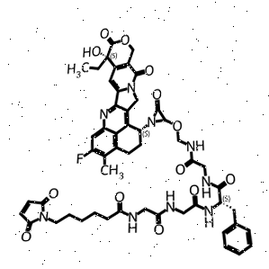 CC[C@@]1(O)C(=O)OCc2c1cc1n(c2=O)Cc2c-1nc1cc(F)c(C)c3c1c2[C@@H](N1C(=O)C1OCNC(=O)CNC(=O)[C@H](Cc1ccccc1)NC(=O)CNC(=O)CNC(=O)CCCCCN1C(=O)C=CC1=O)CC3